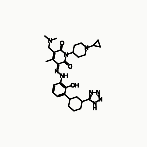 CC1=C(CN(C)C)C(=O)N(C2CCN(C3CC3)CC2)C(=O)C1=NNc1cccc(C2CCCC(c3nnn[nH]3)C2)c1O